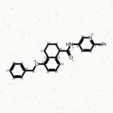 CC(C)c1ccc(NC(=O)C2CCCc3c(OCc4ccccc4)cccc32)cn1